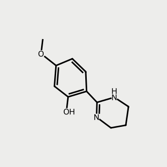 COc1ccc(C2=NCCCN2)c(O)c1